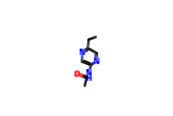 CCc1cnc(NC(C)=O)cn1